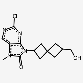 Cn1c(=O)n(C2CC3(CC(CO)C3)C2)c2nc(Cl)ncc21